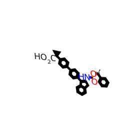 C[C@@H](OC(=O)NC1=C(c2ccc(-c3ccc(C4(C(=O)O)CC4)cc3)cc2)c2ccccc2C1)c1ccccc1